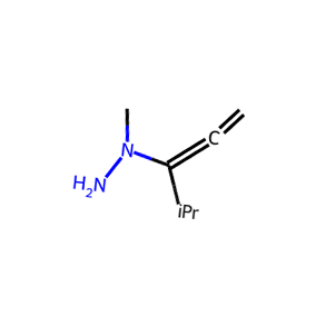 C=C=C(C(C)C)N(C)N